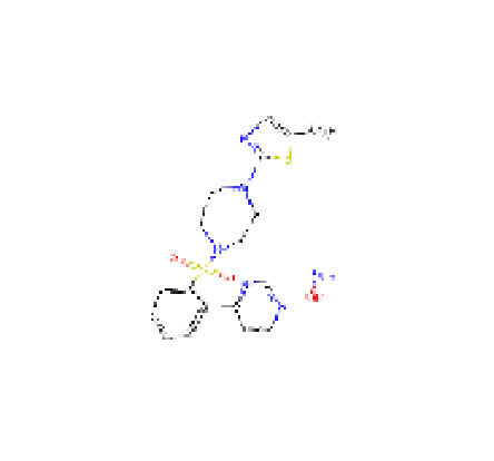 NO.O=C(O)c1cnc(N2CCN(S(=O)(=O)c3ccccc3-c3ccncn3)CC2)s1